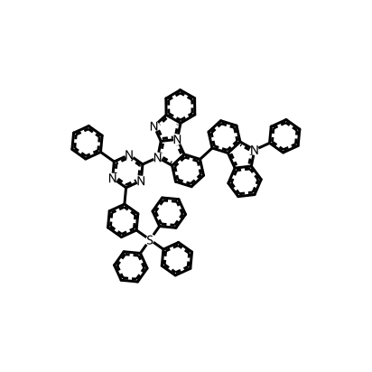 c1ccc(-c2nc(-c3cccc(S(c4ccccc4)(c4ccccc4)c4ccccc4)c3)nc(-n3c4cccc(-c5cccc6c5c5ccccc5n6-c5ccccc5)c4n4c5ccccc5nc34)n2)cc1